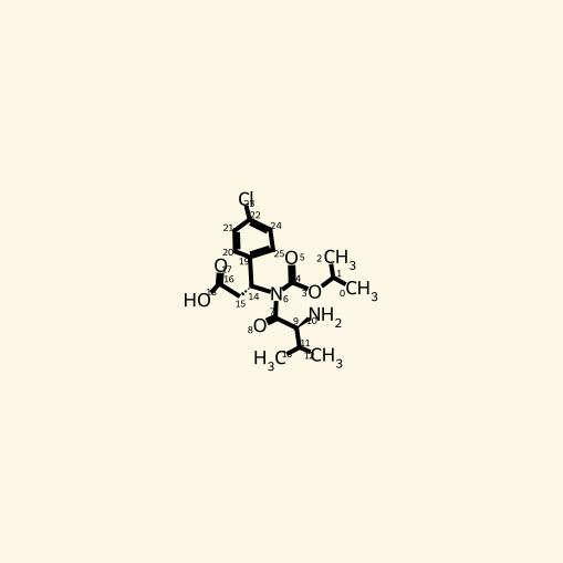 CC(C)OC(=O)N(C(=O)[C@@H](N)C(C)C)[C@H](CC(=O)O)c1ccc(Cl)cc1